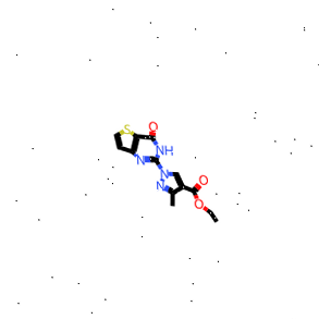 CCOC(=O)c1cn(-c2nc3ccsc3c(=O)[nH]2)nc1C